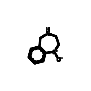 [O-][S+]1CCNCc2ccccc21